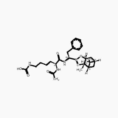 CC(=O)N[C@@H](CCCCNC(=O)O)C(=O)N[C@@H](Cc1ccccc1)B1O[C@@H]2C[C@@H]3C[C@@H](C3(C)C)[C@]2(C)O1